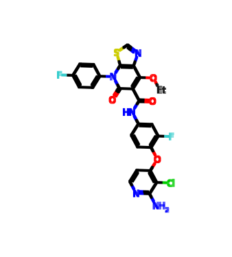 CCOc1c(C(=O)Nc2ccc(Oc3ccnc(N)c3Cl)c(F)c2)c(=O)n(-c2ccc(F)cc2)c2scnc12